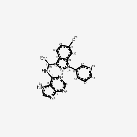 CC[C@H](Nc1ncnc2nc[nH]c12)c1nn(-c2cccnc2)c2cc(F)ccc12